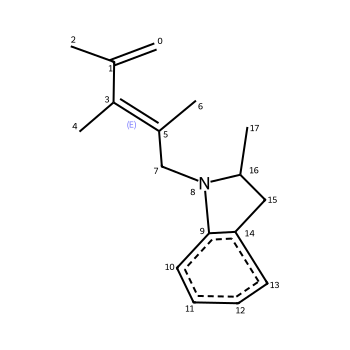 C=C(C)/C(C)=C(\C)CN1c2ccccc2CC1C